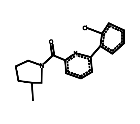 CC1CCCN(C(=O)c2cccc(-c3ccccc3Cl)n2)C1